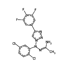 C/C(N)=N/N(c1cc(Cl)ccc1Cl)n1cc(-c2cc(F)c(F)c(F)c2)nn1